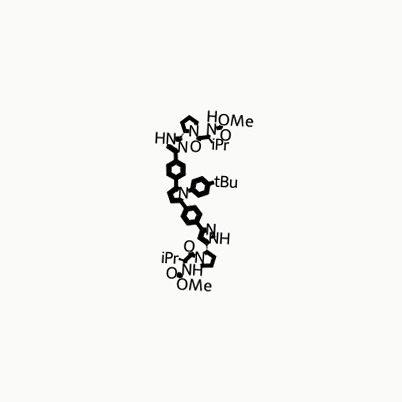 COC(=O)N[C@H](C(=O)N1CCC[C@H]1c1cc(-c2ccc(-c3ccc(-c4ccc(-c5c[nH]c([C@@H]6CCCN6C(=O)[C@@H](NC(=O)OC)C(C)C)n5)cc4)n3-c3ccc(C(C)(C)C)cc3)cc2)n[nH]1)C(C)C